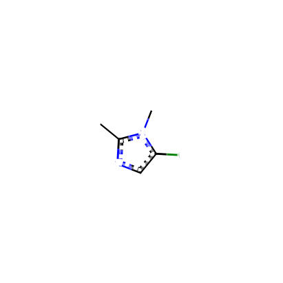 Cc1ncc(F)n1C